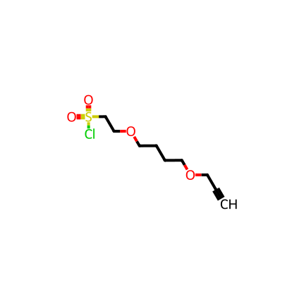 C#CCOCCCCOCCS(=O)(=O)Cl